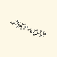 CC(C)(C)OC(=O)N1CCN(CCCOc2ccc(C3CCNCC3)cc2)CC1